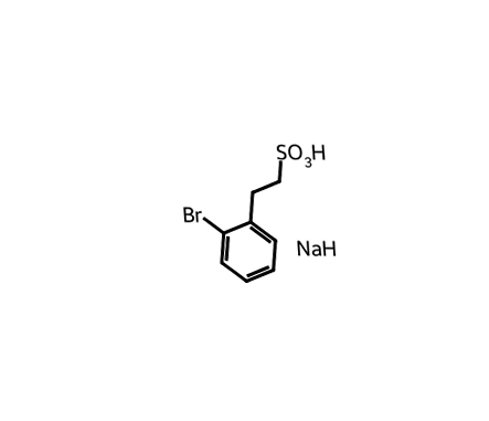 O=S(=O)(O)CCc1ccccc1Br.[NaH]